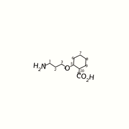 NCCCOC1CCCCC1C(=O)O